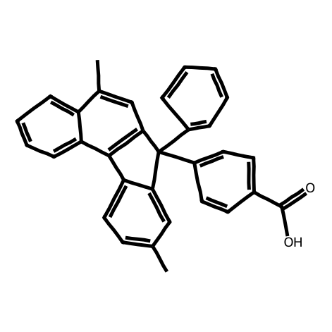 Cc1ccc2c(c1)C(c1ccccc1)(c1ccc(C(=O)O)cc1)c1cc(C)c3ccccc3c1-2